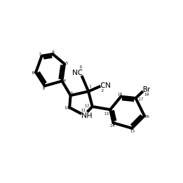 N#CC1(C#N)C(c2ccccc2)CNC1c1cccc(Br)c1